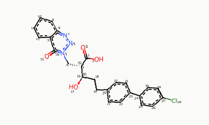 O=C(O)[C@@H](Cn1nnc2ccccc2c1=O)[C@H](O)CCc1ccc(-c2ccc(Cl)cc2)cc1